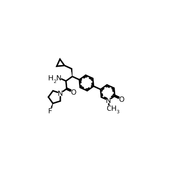 Cn1cc(-c2ccc([C@H](CC3CC3)C(N)C(=O)N3CC[C@H](F)C3)cc2)ccc1=O